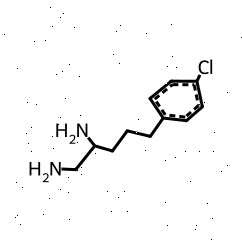 NCC(N)CCCc1ccc(Cl)cc1